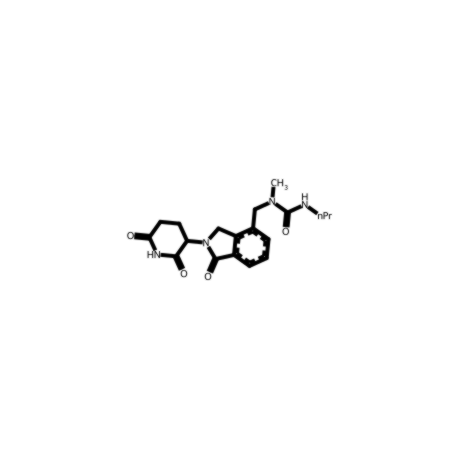 CCCNC(=O)N(C)Cc1cccc2c1CN(C1CCC(=O)NC1=O)C2=O